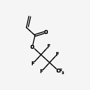 C=CC(=O)OC(F)(F)C(F)(F)C(F)(F)F